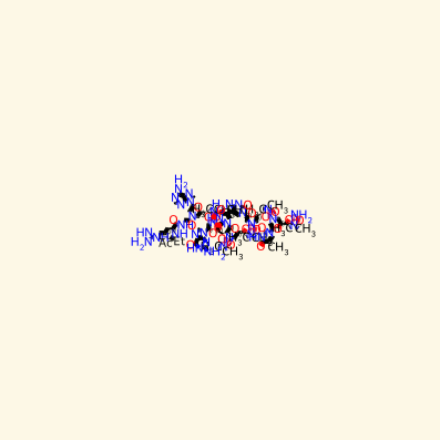 CCC(CC)(N[C@@H](CCCNC(=N)N)C(=O)NCC(=O)N1C[C@@H](COP(=O)(N(C)C)N2C[C@@H](COP(=O)(N(C)C)N3C[C@@H](COP(=O)(N(C)C)N4C[C@@H](COP(=O)(N(C)C)N5C[C@@H](COP(N)(=O)N(C)C)O[C@@H](n6cc(C)c(=O)[nH]c6=O)C5)O[C@@H](n5ccc(N)nc5=O)C4)O[C@@H](n4cc(C)c(=O)[nH]c4=O)C3)O[C@@H](n3cnc4c(=O)[nH]c(N)nc43)C2)O[C@@H](n2cnc3c(N)ncnc32)C1)C(C)=O